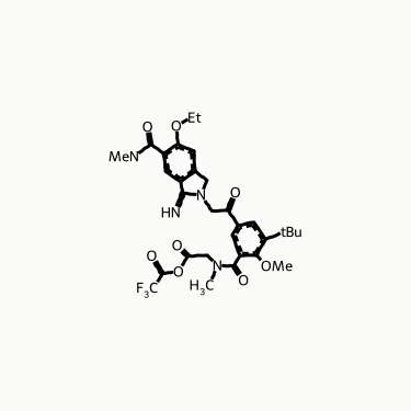 CCOc1cc2c(cc1C(=O)NC)C(=N)N(CC(=O)c1cc(C(=O)N(C)CC(=O)OC(=O)C(F)(F)F)c(OC)c(C(C)(C)C)c1)C2